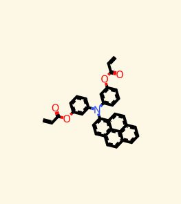 C=CC(=O)Oc1cccc(N(c2cccc(OC(=O)C=C)c2)c2ccc3ccc4cccc5ccc2c3c45)c1